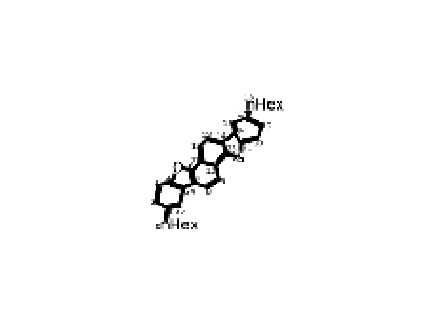 CCCCCCc1ccc2oc3c(ccc4c3ccc3c5cc(CCCCCC)ccc5sc34)c2c1